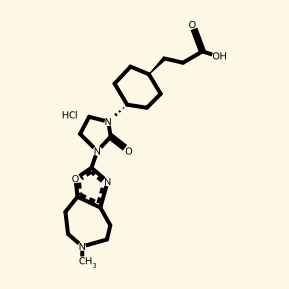 CN1CCc2nc(N3CCN([C@H]4CC[C@H](CCC(=O)O)CC4)C3=O)oc2CC1.Cl